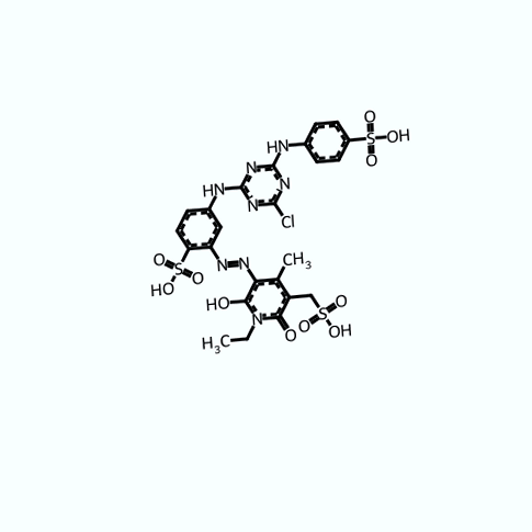 CCn1c(O)c(N=Nc2cc(Nc3nc(Cl)nc(Nc4ccc(S(=O)(=O)O)cc4)n3)ccc2S(=O)(=O)O)c(C)c(CS(=O)(=O)O)c1=O